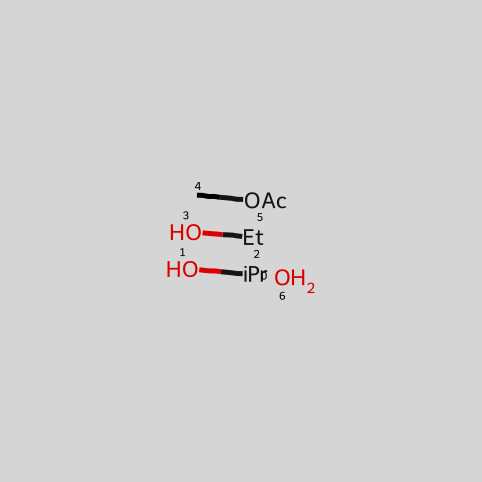 CC(C)O.CCO.COC(C)=O.O